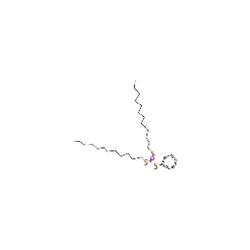 CCCCCCCCCCCCSP(SCCCCCCCCCCCC)Sc1ccccc1